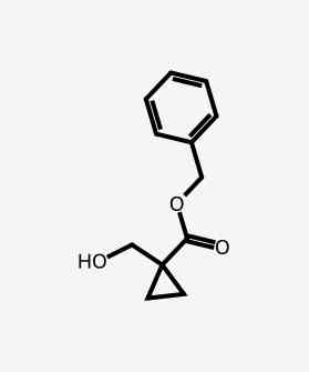 O=C(OCc1ccccc1)C1(CO)CC1